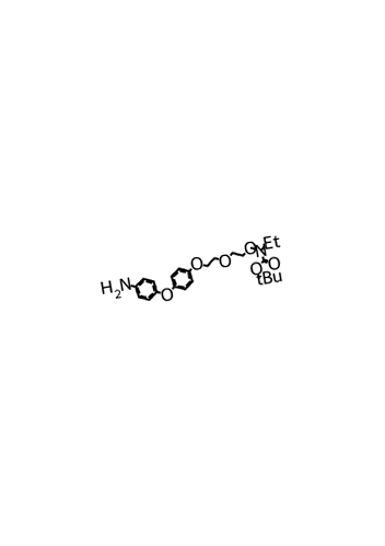 CCN(OCCOCCOc1ccc(Oc2ccc(N)cc2)cc1)C(=O)OC(C)(C)C